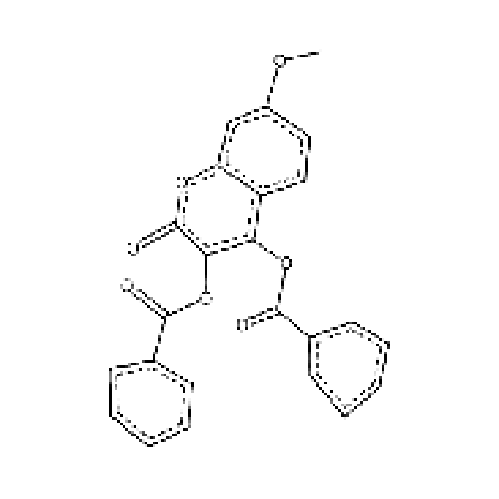 COc1ccc2c(OC(=O)c3ccccc3)c(OC(=O)c3ccccc3)c(=O)oc2c1